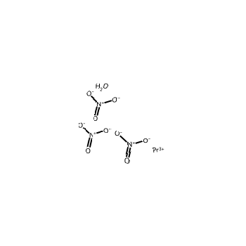 O.O=[N+]([O-])[O-].O=[N+]([O-])[O-].O=[N+]([O-])[O-].[Pr+3]